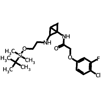 CC(C)(C)[Si](C)(C)OCCNC1C2CC21NC(=O)COc1ccc(Cl)c(F)c1